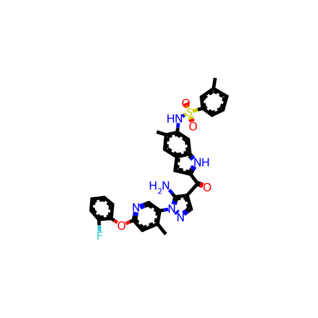 Cc1cccc(S(=O)(=O)Nc2cc3[nH]c(C(=O)c4cnn(-c5cnc(Oc6ccccc6F)cc5C)c4N)cc3cc2C)c1